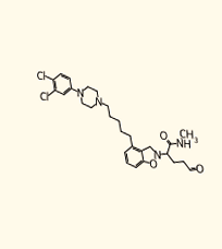 CNC(=O)C(CCC=O)N1Cc2c(CCCCCN3CCN(c4ccc(Cl)c(Cl)c4)CC3)cccc2O1